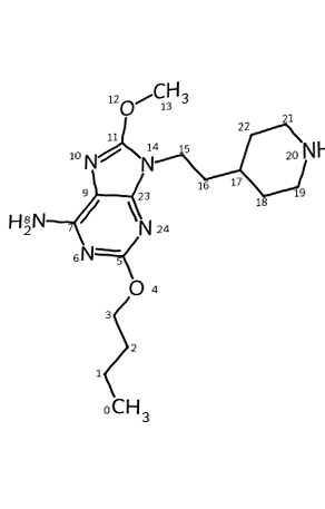 CCCCOc1nc(N)c2nc(OC)n(CCC3CCNCC3)c2n1